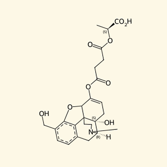 C[C@H](OC(=O)CCC(=O)OC1=CC[C@@]2(O)[C@H]3Cc4ccc(CO)c5c4C2(CCN3C)C1O5)C(=O)O